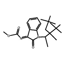 COC(=O)/N=C1/C(=O)N(C(C)C(C)(CC(C)(C)C)C(C)(C)C)c2ccccc21